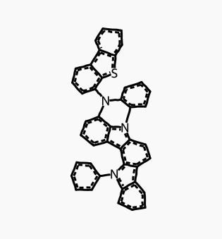 c1ccc(-n2c3ccccc3c3ccc4c(c5cccc6c5n4-c4ccccc4N6c4cccc5c4sc4ccccc45)c32)cc1